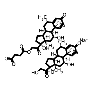 C[C@H]1C[C@@H]2[C@H]([C@@H](O)C[C@@]3(C)[C@H]2CC[C@]3(O)C(=O)CO)[C@@]2(C)C=CC(=O)C=C12.C[C@H]1C[C@@H]2[C@H]([C@@H](O)C[C@@]3(C)[C@H]2CC[C@]3(O)C(=O)COC(=O)CCC(=O)[O-])[C@@]2(C)C=CC(=O)C=C12.[Na+]